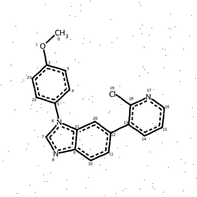 COc1ccc(-n2cnc3ccc(-c4cccnc4Cl)cc32)cc1